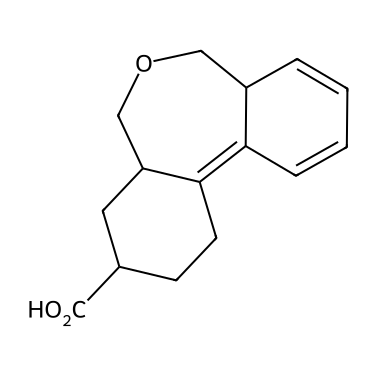 O=C(O)C1CCC2=C3C=CC=CC3COCC2C1